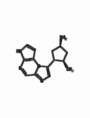 C[C@@H]1C[C@H](N)CC1c1cnc2cnc3[nH]ccc3n12